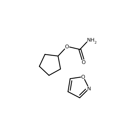 NC(=O)OC1CCCC1.c1cnoc1